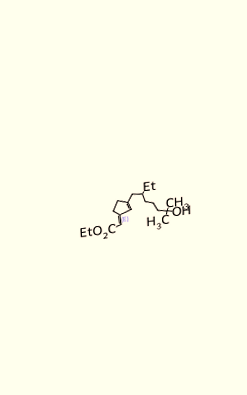 CCOC(=O)/C=C1/C=C(CC(CC)CCCC(C)(C)O)CC1